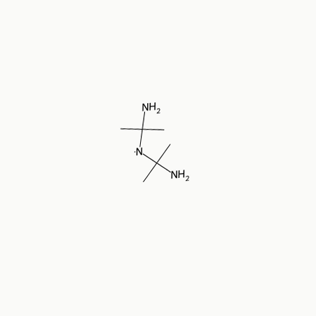 CC(C)(N)[N]C(C)(C)N